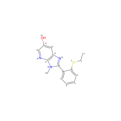 CCSc1ccccc1-c1nc2cc(O)cnc2n1C